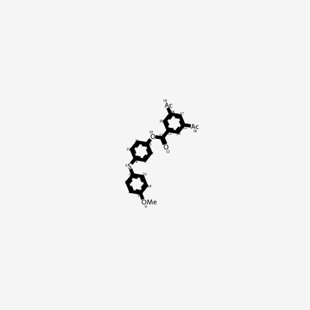 COc1ccc(Sc2ccc(OC(=O)c3cc(C(C)=O)cc(C(C)=O)c3)cc2)cc1